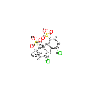 O=S(=O)([O-])c1ccc(Cl)cc1.O=S(=O)([O-])c1ccc(Cl)cc1.[Cd+2]